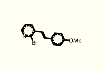 COc1ccc(C=Cc2cccnc2Br)cc1